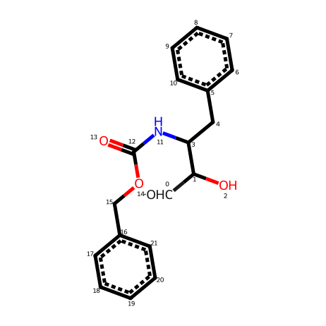 O=[C]C(O)C(Cc1ccccc1)NC(=O)OCc1ccccc1